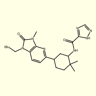 Cn1c(=O)n(CC(C)(C)C)c2ccc(C3CCC(C)(C)C(NC(=O)c4ncn[nH]4)C3)nc21